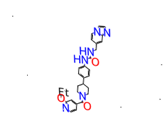 CCOc1cc(C(=O)N2CCC(c3ccc(NC(=O)NCc4ccn5ccnc5c4)cc3)CC2)ccn1